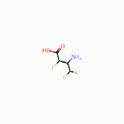 NC(C(F)F)C(F)C(=O)O